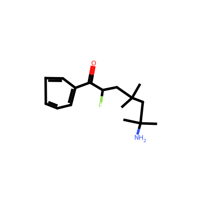 CC(C)(N)CC(C)(C)CC(F)C(=O)c1ccccc1